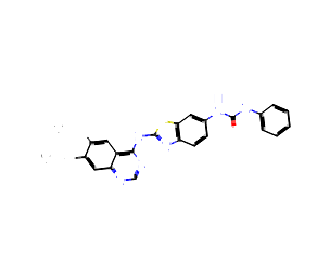 COc1cc2ncnc(Nc3nc4ccc(NC(=O)Nc5ccccc5)cc4s3)c2cc1OC